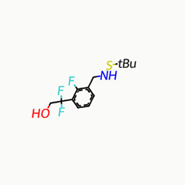 CC(C)(C)SNCc1cccc(C(F)(F)CO)c1F